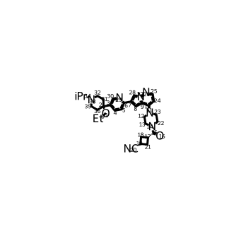 CCOC1(c2ccc(-c3cc4c(N5CCN(C(=O)[C@H]6C[C@H](C#N)C6)CC5)ccnn4c3)nc2)CCN(C(C)C)CC1